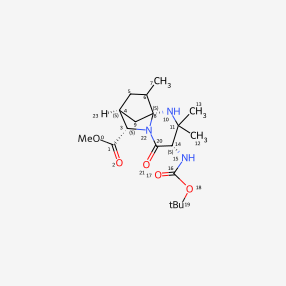 COC(=O)[C@@H]1[C@H]2CC(C)[C@@]3(C2)NC(C)(C)[C@H](NC(=O)OC(C)(C)C)C(=O)N13